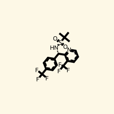 CC(C)(C)S(=O)(=O)N[C@@H](c1ccc(C(F)(F)F)cc1)c1ncccc1C(F)(F)F